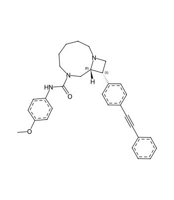 COc1ccc(NC(=O)N2CCCCCN3C[C@H](c4ccc(C#Cc5ccccc5)cc4)[C@@H]3C2)cc1